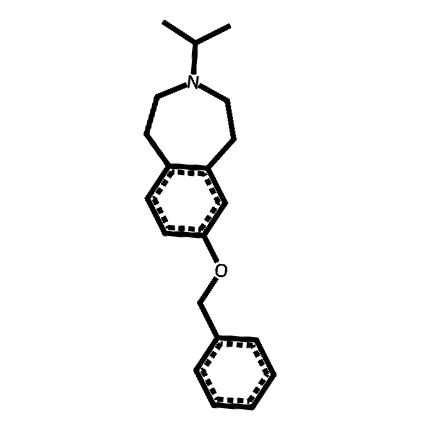 CC(C)N1CCc2ccc(OCc3ccccc3)cc2CC1